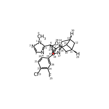 Cn1ncnc1CC(=O)N1C[C@H]2C[C@@H](C1)C2c1nc(-c2ccc(Cl)c(F)c2)no1